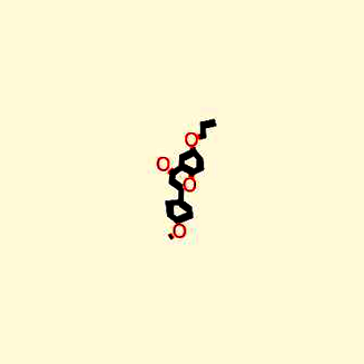 C=CCOc1ccc2oc(-c3ccc(OC)cc3)cc(=O)c2c1